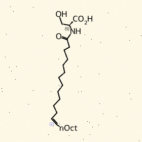 CCCCCCCC/C=C\CCCCCCCCCCCC(=O)N[C@@H](CO)C(=O)O